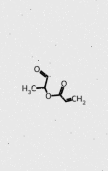 C=CC(=O)OC(C)[C]=O